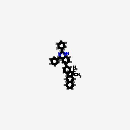 CC1(C)C2=C(C=CC(C3=CC4C(C5=CC=CCC5)=NC(C5C=CC=CC5)NC4C=C3)C2)C2C=C3CCC=CC3=CC21